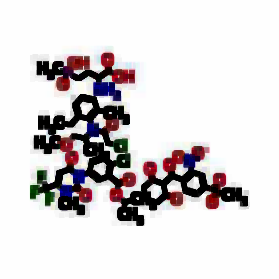 CC(C)OC(=O)c1cc(-n2c(=O)cc(C(F)(F)F)n(C)c2=O)ccc1Cl.CCc1cccc(C)c1N(C(=O)CCl)C(C)COC.CP(=O)(O)CCC(N)C(=O)O.CS(=O)(=O)c1ccc(C(=O)C2C(=O)CCCC2=O)c([N+](=O)[O-])c1